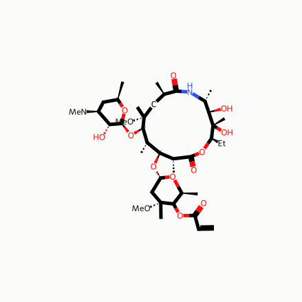 C=CC(=O)OC1[C@H](C)O[C@@H](O[C@H]2[C@H](C)[C@@H](O[C@@H]3O[C@H](C)C[C@H](NC)[C@H]3O)[C@](C)(OC)C[C@@H](C)C(=O)N[C@H](C)[C@@H](O)[C@](C)(O)[C@@H](CC)OC(=O)[C@@H]2C)C[C@@]1(C)OC